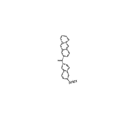 C=C(c1ccc2cc(CCCCCC)ccc2c1)c1ccc2cc3ccccc3cc2c1